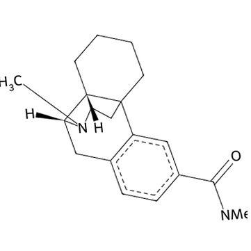 CNC(=O)c1ccc2c(c1)C13CCCC[C@H]1[C@@H](C2)N(C)CC3